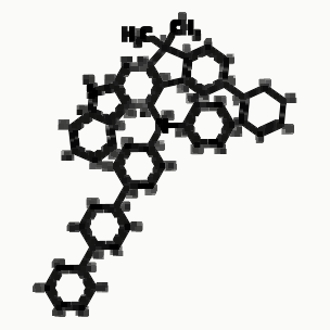 CC1(C)c2ccc(C3=CC=CCC3)cc2-c2c1cc1sc3ccccc3c1c2N(c1ccccc1)c1ccc(-c2ccc(-c3ccccc3)cc2)cc1